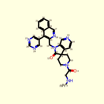 CCCNCC(=O)N1CCC2(CC1)C(=O)N(Cc1ncc3ccccc3c1-c1cncnc1)c1cnccc12